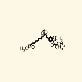 CCOC(=O)CCCCCC/C=C/C1(CCc2ccc(OC(=O)C(C)C)c(OC)c2)OCCO1